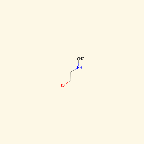 O=CNCCO